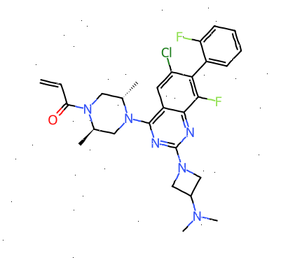 C=CC(=O)N1C[C@H](C)N(c2nc(N3CC(N(C)C)C3)nc3c(F)c(-c4ccccc4F)c(Cl)cc23)C[C@H]1C